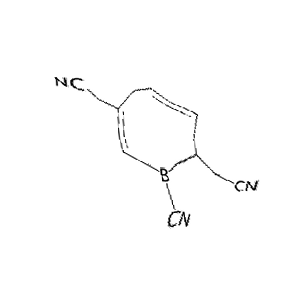 N#CB1C=C(C#N)C=CC1C#N